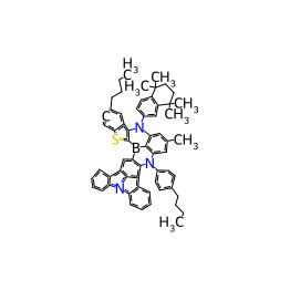 CCCCc1ccc(N2c3cc(C)cc4c3B(c3cc5c6ccccc6n6c7ccccc7c(c32)c56)c2sc3ccc(CCCC)cc3c2N4c2ccc3c(c2)C(C)(C)CCC3(C)C)cc1